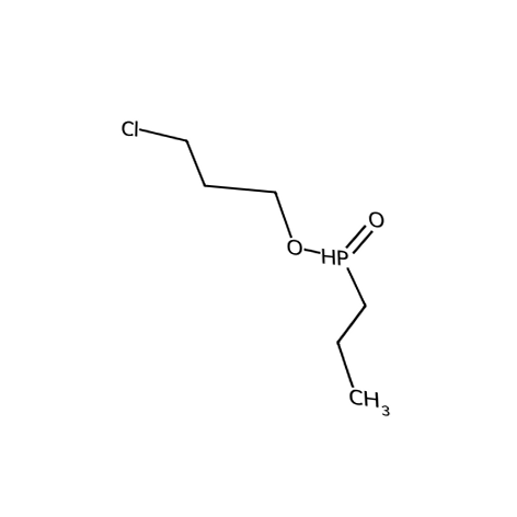 CCC[PH](=O)OCCCCl